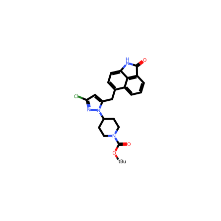 CC(C)(C)OC(=O)N1CCC(n2nc(Cl)cc2Cc2ccc3c4c(cccc24)C(=O)N3)CC1